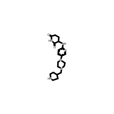 O=C1CCC(Nc2ccc(N3CCN(CC4CCNCC4)CC3)cn2)C(=O)N1